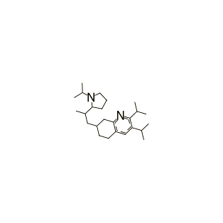 CC(C)c1cc2c(nc1C(C)C)CC(CC(C)C1CCCN1C(C)C)CC2